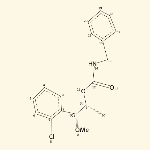 CO[C@H](c1ccccc1Cl)[C@@H](C)OC(=O)NCc1ccccc1